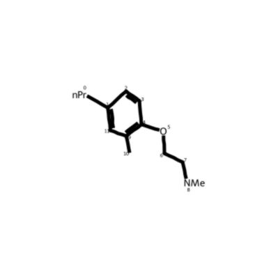 CCCc1ccc(OCCNC)c(C)c1